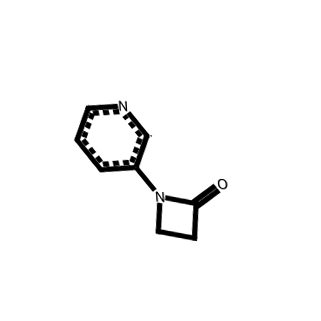 O=C1CCN1c1[c]nccc1